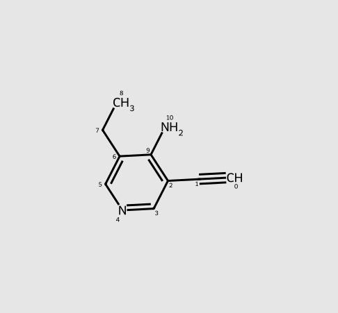 C#Cc1cncc(CC)c1N